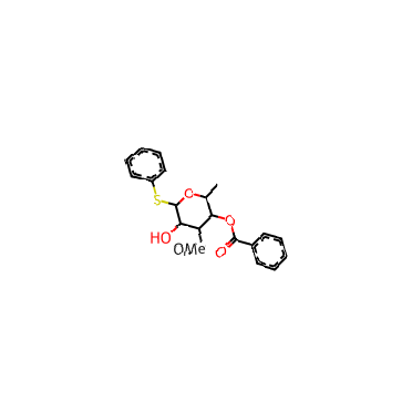 COC1C(O)C(Sc2ccccc2)OC(C)C1OC(=O)c1ccccc1